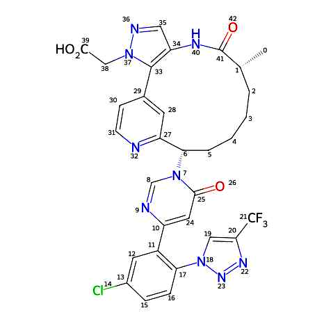 C[C@@H]1CCCC[C@H](n2cnc(-c3cc(Cl)ccc3-n3cc(C(F)(F)F)nn3)cc2=O)c2cc(ccn2)-c2c(cnn2CC(=O)O)NC1=O